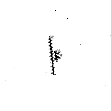 CC1=C(C(=O)O)CC(C(=O)O)=C(C)N1.CCCCCCCCCCCCCCCCCCCCCCO